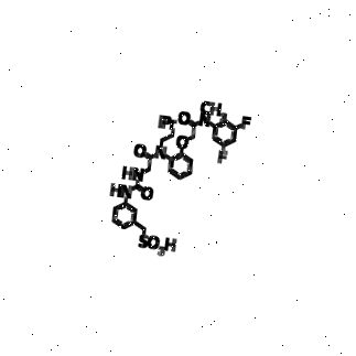 CC(C)CCN(C(=O)CNC(=O)Nc1cccc(CS(=O)(=O)O)c1)c1ccccc1OCC(=O)N(C)c1cc(F)cc(F)c1